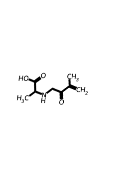 C=C(C)C(=O)CNC(C)C(=O)O